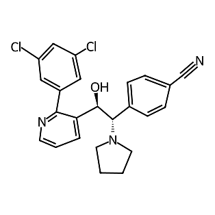 N#Cc1ccc([C@@H]([C@H](O)c2cccnc2-c2cc(Cl)cc(Cl)c2)N2CCCC2)cc1